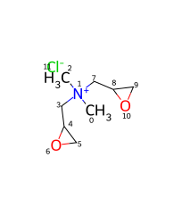 C[N+](C)(CC1CO1)CC1CO1.[Cl-]